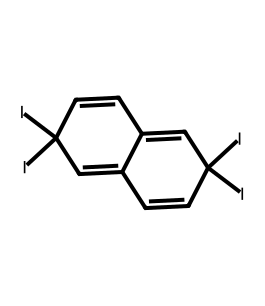 IC1(I)C=CC2=CC(I)(I)C=CC2=C1